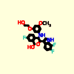 COc1cc(NC(C(=O)c2c[nH]c3c(F)c(F)ccc23)c2ccc(F)cc2CO)cc(OCCO)c1